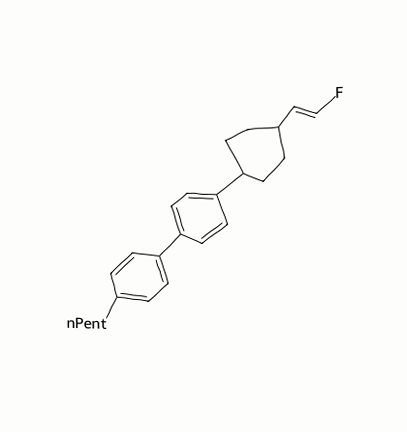 CCCCCc1ccc(-c2ccc(C3CCC(/C=C/F)CC3)cc2)cc1